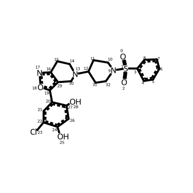 O=S(=O)(c1ccccc1)N1CCC(N2CCc3noc(-c4cc(Cl)c(O)cc4O)c3C2)CC1